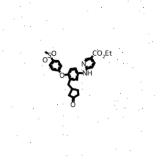 CCOC(=O)c1ccc(Nc2ccc(Oc3ccc(S(C)(=O)=O)cc3)c(CC3CCC(=O)C3)c2)nc1